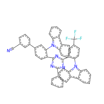 N#Cc1cccc(-c2ccc(-c3nc(-c4ccccc4)nc(-c4cc(C(F)(F)F)ccc4-n4c5ccccc5c5ccccc54)n3)c(-n3c4ccccc4c4ccccc43)c2)c1